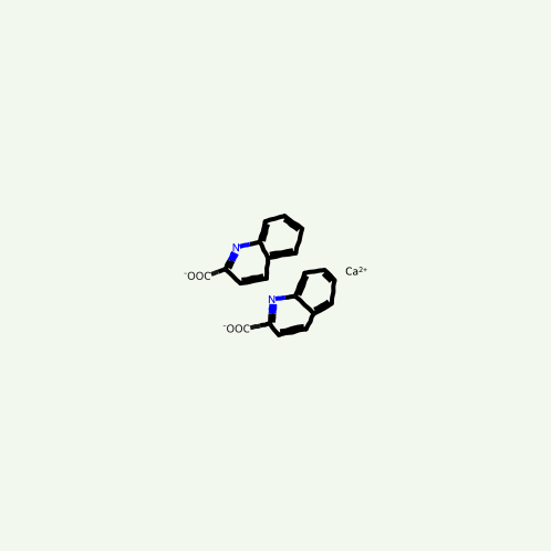 O=C([O-])c1ccc2ccccc2n1.O=C([O-])c1ccc2ccccc2n1.[Ca+2]